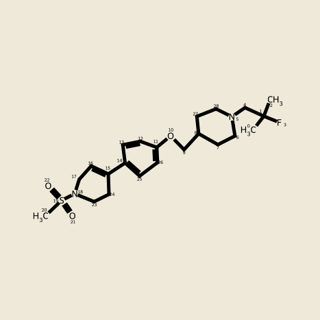 CC(C)(F)CN1CCC(COc2ccc(C3=CCN(S(C)(=O)=O)CC3)cc2)CC1